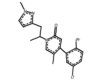 Cc1cn(C(C)Cc2ccn(C)n2)c(=O)cc1-c1cc(Cl)ccc1C(C)C